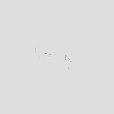 C=CC(=O)N(C)CCC(F)(F)C(F)(F)C(F)(F)C(F)(F)F